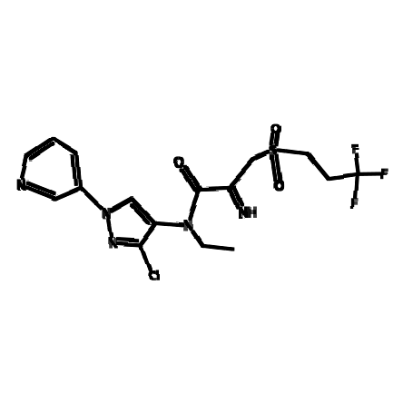 CCN(C(=O)C(=N)CS(=O)(=O)CCC(F)(F)F)c1cn(-c2cccnc2)nc1Cl